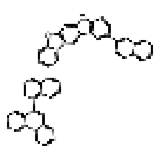 c1ccc2cc(-c3ccc4oc5cc6oc7ccc(-c8cccc9c(-c%10cc%11ccccc%11c%11ccccc%10%11)cccc89)cc7c6cc5c4c3)ccc2c1